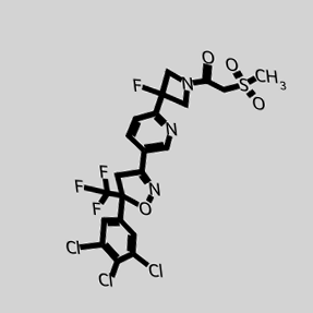 CS(=O)(=O)CC(=O)N1CC(F)(c2ccc(C3=NOC(c4cc(Cl)c(Cl)c(Cl)c4)(C(F)(F)F)C3)cn2)C1